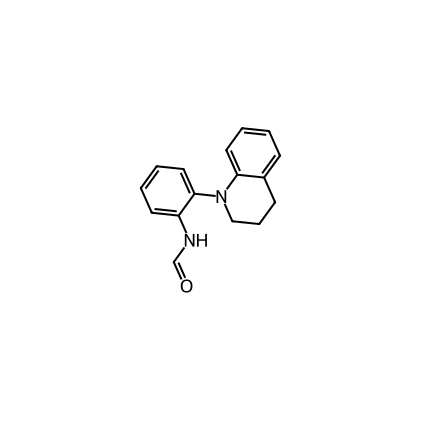 O=CNc1ccccc1N1CCCc2ccccc21